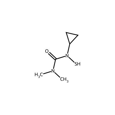 CN(C)C(=O)N(S)C1CC1